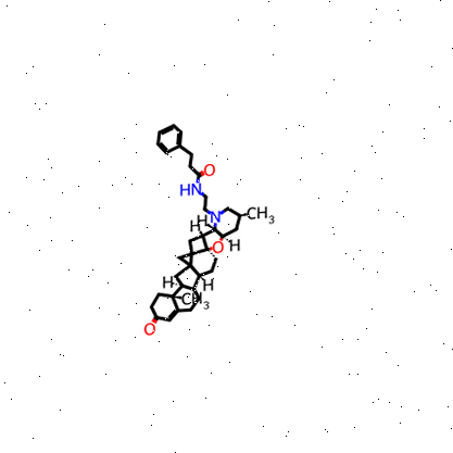 C[C@H]1C[C@H]2O[C@@]34CC[C@H]5C6CCC7=CC(=O)CC[C@]7(C)[C@H]6CC56CC63C[C@@H]4[C@@H]2N(CCNC(=O)CCc2ccccc2)C1